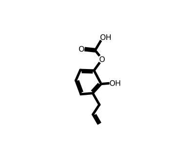 C=CCc1cccc(OC(=O)O)c1O